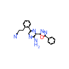 N#CCCc1ccccc1-c1cnc(N)c(-c2nnc(-c3ccccc3)o2)n1